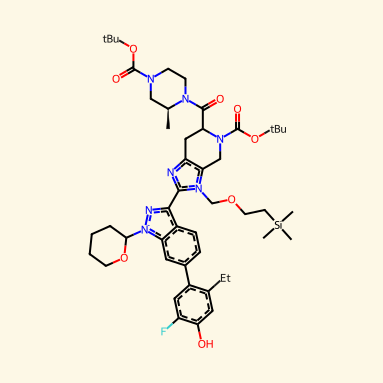 CCc1cc(O)c(F)cc1-c1ccc2c(-c3nc4c(n3COCC[Si](C)(C)C)CN(C(=O)OC(C)(C)C)C(C(=O)N3CCN(C(=O)OC(C)(C)C)C[C@@H]3C)C4)nn(C3CCCCO3)c2c1